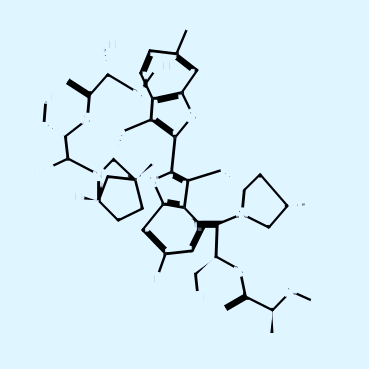 CC[C@H](NC(=O)[C@H](C)NC)C(=O)N1C[C@@H](O)C[C@H]1Cc1c(-c2[nH]c3cc(F)ccc3c2C[C@@H]2[C@@H]3CC[C@@H](C3)N2C(O)[C@H](CC)NC(=O)[C@H](C)NC)[nH]c2cc(F)ccc12